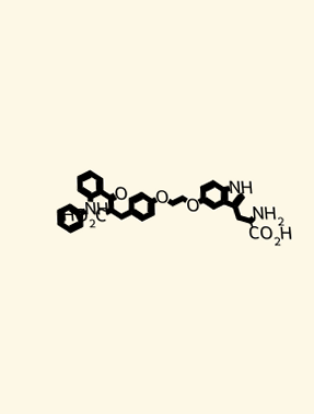 N[C@@H](Cc1c[nH]c2ccc(OCCOc3ccc(CC(C(=O)O)C(=O)c4ccccc4Nc4ccccc4)cc3)cc12)C(=O)O